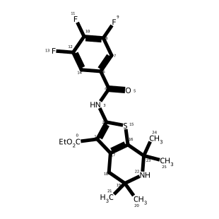 CCOC(=O)c1c(NC(=O)c2cc(F)c(F)c(F)c2)sc2c1CC(C)(C)NC2(C)C